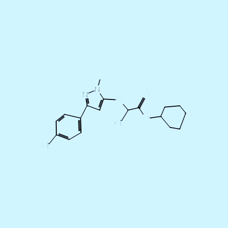 Cn1nc(-c2ccc(Cl)cc2)cc1OC(Cl)C(=O)OC1CCCCC1